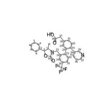 CC1C(c2ccccc2)OC(=O)N1Cc1cc(C(F)(F)F)ccc1-c1cc(CC(=O)O)ccc1-c1cccnc1